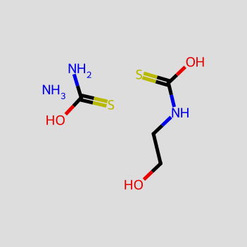 N.NC(O)=S.OCCNC(O)=S